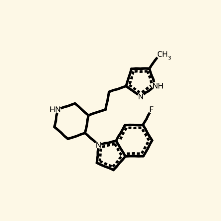 Cc1cc(CCC2CNCCC2n2ccc3ccc(F)cc32)n[nH]1